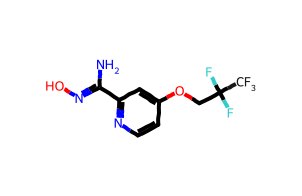 NC(=NO)c1cc(OCC(F)(F)C(F)(F)F)ccn1